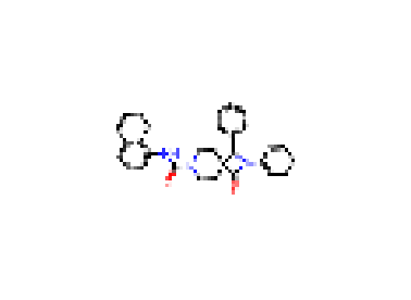 O=C(Nc1cccc2c1CCC=C2)N1CCC2(CC1)C(=O)N(C1=CCCC=C1)C2c1ccccc1